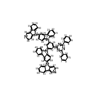 c1ccc(-c2nc(-c3ccccc3)nc(-c3cc(-n4c5ccccc5c5cc(-n6c7ccccc7c7cnccc76)ccc54)cc(-n4c5ccccc5c5cc(-n6c7ccccc7c7cnccc76)ccc54)c3)n2)cc1